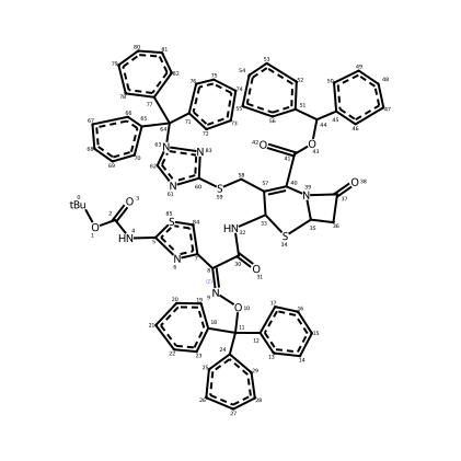 CC(C)(C)OC(=O)Nc1nc(/C(=N/OC(c2ccccc2)(c2ccccc2)c2ccccc2)C(=O)NC2SC3CC(=O)N3C(C(=O)OC(c3ccccc3)c3ccccc3)=C2CSc2ncn(C(c3ccccc3)(c3ccccc3)c3ccccc3)n2)cs1